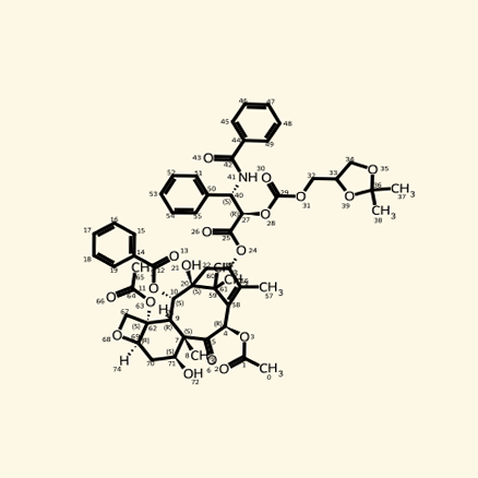 CC(=O)O[C@H]1C(=O)[C@@]2(C)[C@H]([C@H](OC(=O)c3ccccc3)[C@]3(O)C[C@H](OC(=O)[C@H](OC(=O)OCC4COC(C)(C)O4)[C@@H](NC(=O)c4ccccc4)c4ccccc4)C(C)=C1C3(C)C)[C@]1(OC(C)=O)CO[C@@H]1C[C@@H]2O